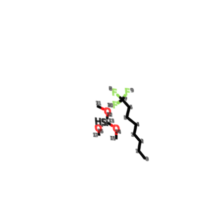 CCCCCCCC(F)(F)F.CO[SiH](OC)OC